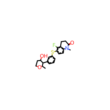 CC1OCCC(O)C1c1cccc(Sc2ccc3c(c2F)CCC(=O)N3C)c1